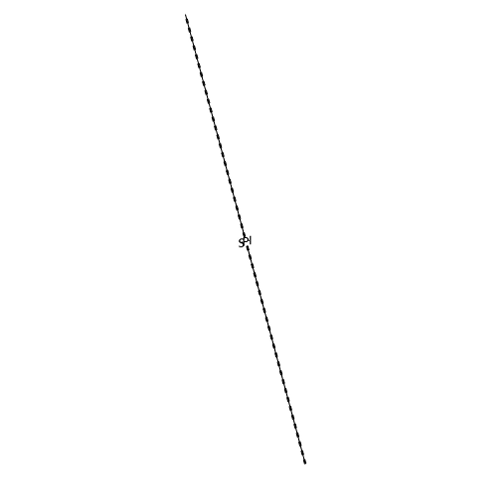 C#CC#CC#CC#CC#CC#CC#CC#CC#CC#CC#CC#CC#CC#CC#CC#CC#CC#CC#CC#CC#CC#CC#CC#CC#CP(=S)(I)C#CC#CC#CC#CC#CC#CC#CC#CC#CC#CC#CC#CC#CC#CC#CC#CC#CC#CC#CC#CC#CC#CC#CC#CC#CC